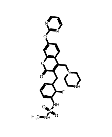 CNS(=O)(=O)NC1=CC=CC(Cc2c(CN3CCNCC3)c3ccc(Oc4ncccn4)cc3oc2=O)C1F